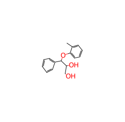 Cc1ccccc1OC(c1ccccc1)C(O)CO